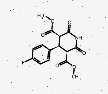 COC(=O)[C@H]1C(=O)NC(=O)[C@@H](C(=O)OC)[C@H]1c1ccc(F)cc1